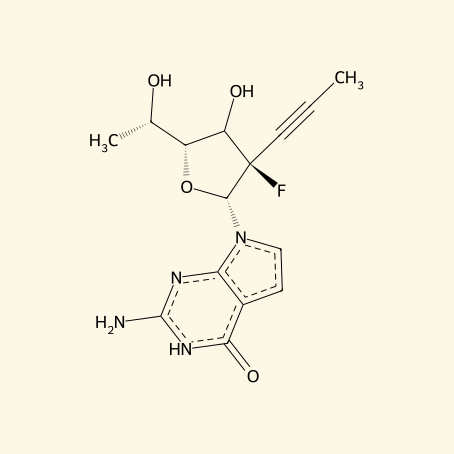 CC#C[C@@]1(F)C(O)[C@@H]([C@H](C)O)O[C@H]1n1ccc2c(=O)[nH]c(N)nc21